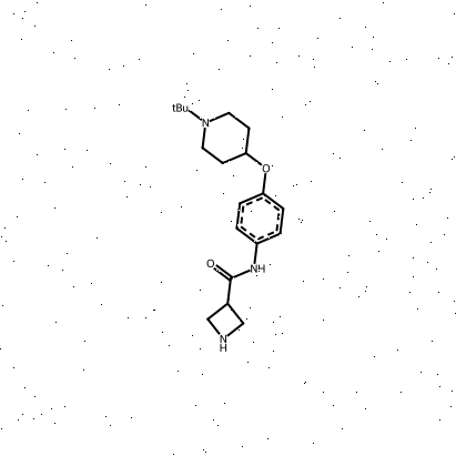 CC(C)(C)N1CCC(Oc2ccc(NC(=O)C3CNC3)cc2)CC1